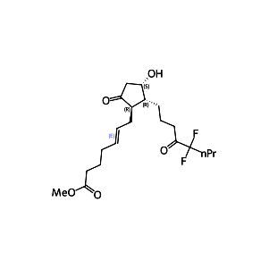 CCCC(F)(F)C(=O)CCC[C@H]1[C@@H](O)CC(=O)[C@@H]1C/C=C/CCCC(=O)OC